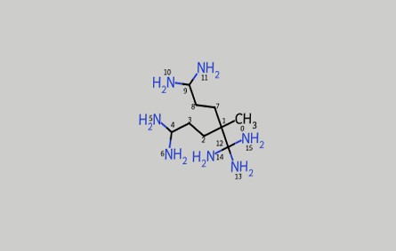 CC(CCC(N)N)(CCC(N)N)C(N)(N)N